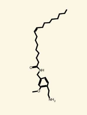 CCCCCCCC/C=C\CCCCCCCC(=O)NCc1ccc(CCN)c(OC)c1